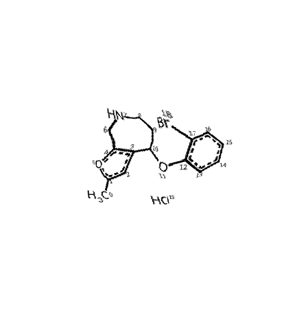 Cc1cc2c(o1)CNCCC2Oc1ccccc1Br.Cl